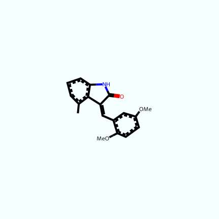 COc1ccc(OC)c(/C=C2\C(=O)Nc3cccc(C)c32)c1